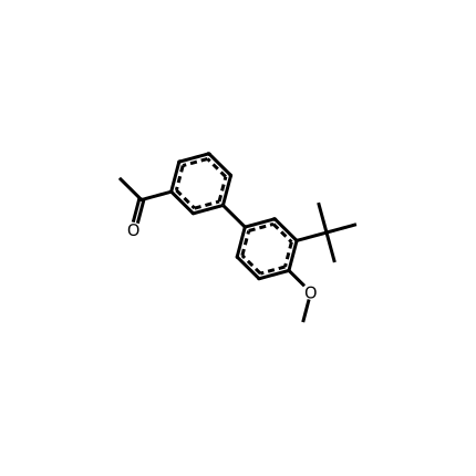 COc1ccc(-c2cccc(C(C)=O)c2)cc1C(C)(C)C